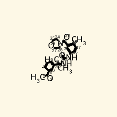 CC(=O)c1cccc(C(C)(C)NC(=O)Nc2ccc(C)c(C(=O)N3CCOCC3)c2)c1